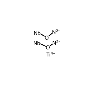 [N-2][O][Nb].[N-2][O][Nb].[Ti+4]